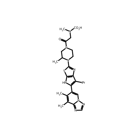 Cc1c(-c2[nH]c3sc(N4CCN(C(=O)CN(C)C(=O)O)CC4C)nc3c2C(C)C)cn2ncnc2c1C